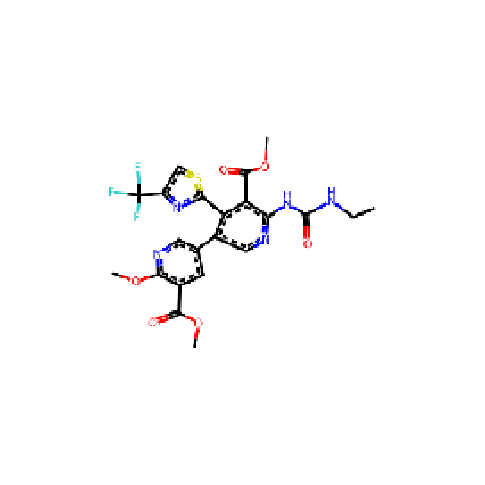 CCNC(=O)Nc1ncc(-c2cnc(OC)c(C(=O)OC)c2)c(-c2nc(C(F)(F)F)cs2)c1C(=O)OC